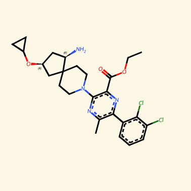 CCOC(=O)c1nc(-c2cccc(Cl)c2Cl)c(C)nc1N1CCC2(CC1)C[C@@H](OC1CC1)C[C@H]2N